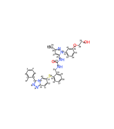 Cc1ccccc1-c1nnc2ccc(Sc3ccccc3CNC(=O)Nc3cc(C(C)(C)C)nn3-c3cccc(OCCO)c3)cn12